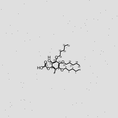 CCCCCOc1c(C)c(OC(=O)O)c(O)c(OCCCCC)c1OCCCCC